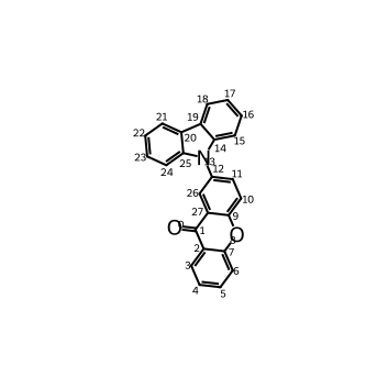 O=c1c2ccccc2oc2ccc(-n3c4ccccc4c4ccccc43)cc12